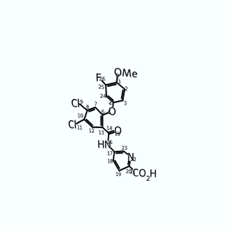 COc1ccc(Oc2cc(Cl)c(Cl)cc2C(=O)Nc2ccc(C(=O)O)nc2)cc1F